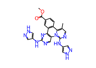 COC(=O)c1ccc(-c2nc(Nc3cn[nH]c3)ncc2C)c(-c2nc(Nc3cn[nH]c3)ncc2C)c1